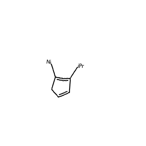 CC(C)C1=[C]([Ni])CC=C1